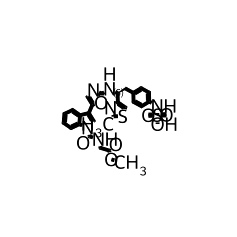 COC(=O)CNC(=O)n1cc(-c2cnc(N[C@@H](Cc3ccc(NS(=O)(=O)O)cc3)c3csc(C)n3)o2)c2ccccc21